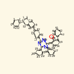 c1ccc(-c2ccc3ccc(-c4ccc(-c5nc(-c6ccccc6-c6ccccc6)nc(-c6cccc7c6oc6ccccc67)n5)cc4)cc3c2)cc1